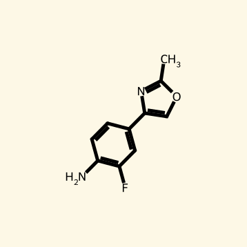 Cc1nc(-c2ccc(N)c(F)c2)co1